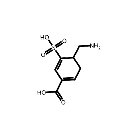 NCC1CC=C(C(=O)O)C=C1S(=O)(=O)O